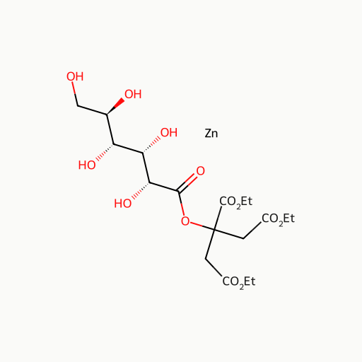 CCOC(=O)CC(CC(=O)OCC)(OC(=O)[C@H](O)[C@@H](O)[C@H](O)[C@H](O)CO)C(=O)OCC.[Zn]